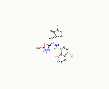 Cc1cccc(C(C)C(NSc2ccc(Cl)c3c2OCC=C3)c2n[nH]c(=O)o2)c1C